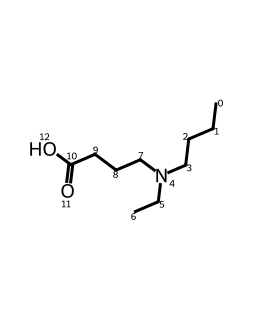 CCCCN(CC)CCCC(=O)O